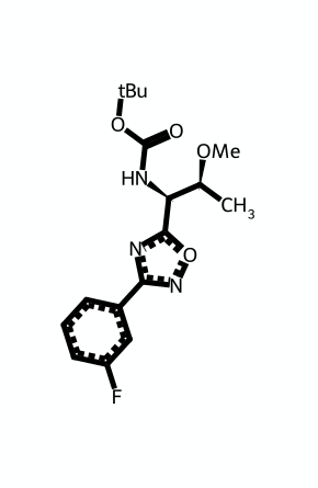 CO[C@@H](C)[C@H](NC(=O)OC(C)(C)C)c1nc(-c2cccc(F)c2)no1